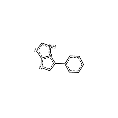 c1ccc(-c2cnc3nc[nH]n23)cc1